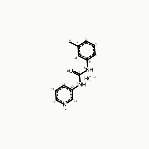 Cc1cccc(NC(=O)Nc2cccnc2)c1.Cl